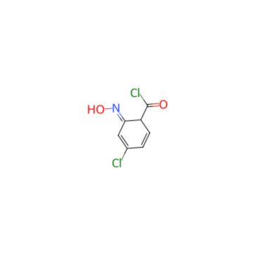 O=C(Cl)C1C=CC(Cl)=CC1=NO